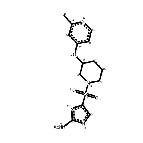 CC(=O)Nc1ncc(S(=O)(=O)N2CCCC(Oc3ccnc(C)c3)C2)s1